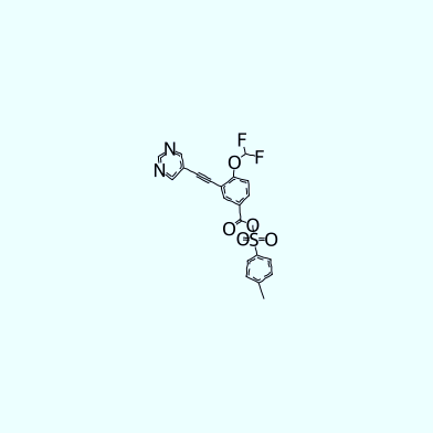 Cc1ccc(S(=O)(=O)OC(=O)c2ccc(OC(F)F)c(C#Cc3cncnc3)c2)cc1